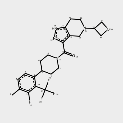 Cc1ccc(C2CCN(C(=O)c3n[nH]c4c3CN(C3COC3)CC4)CC2)c(C(F)(F)F)c1F